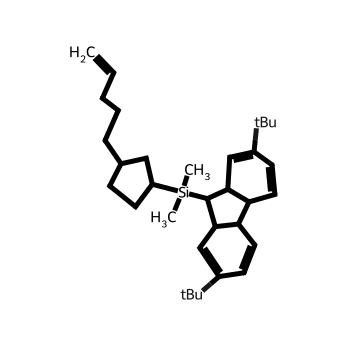 C=CCCCC1CCC([Si](C)(C)C2C3C=C(C(C)(C)C)C=CC3C3C=CC(C(C)(C)C)=CC32)C1